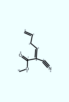 C=CCC=C(C#N)C(=O)OC